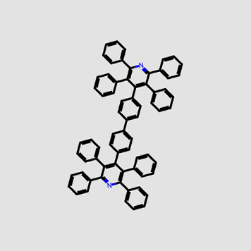 c1ccc(-c2nc(-c3ccccc3)c(-c3ccccc3)c(-c3ccc(-c4ccc(-c5c(-c6ccccc6)c(-c6ccccc6)nc(-c6ccccc6)c5-c5ccccc5)cc4)cc3)c2-c2ccccc2)cc1